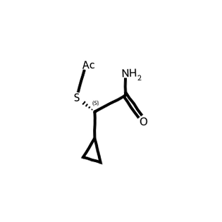 CC(=O)S[C@H](C(N)=O)C1CC1